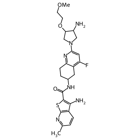 COCCOC1CN(c2cc(F)c3c(n2)CCC(NC(=O)c2sc4nc(C)ccc4c2N)C3)CC1N